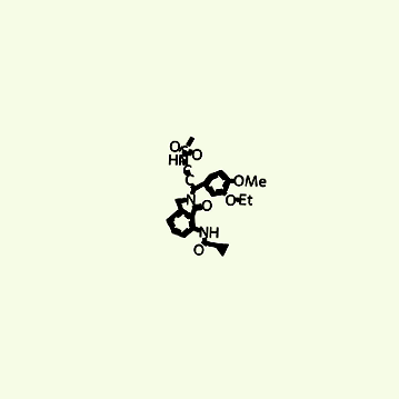 CCOc1cc(C(CCNS(C)(=O)=O)N2Cc3cccc(NC(=O)C4CC4)c3C2=O)ccc1OC